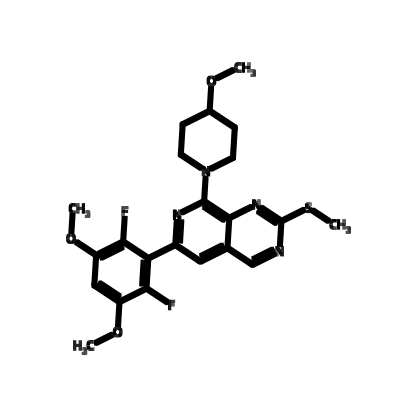 COc1cc(OC)c(F)c(-c2cc3cnc(SC)nc3c(N3CCC(OC)CC3)n2)c1F